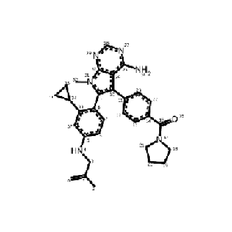 C=C(C)CNc1ccc(-c2c(-c3ccc(C(=O)N4CCCC4)cc3)c3c(N)ncnc3n2C)c(C2CC2)c1